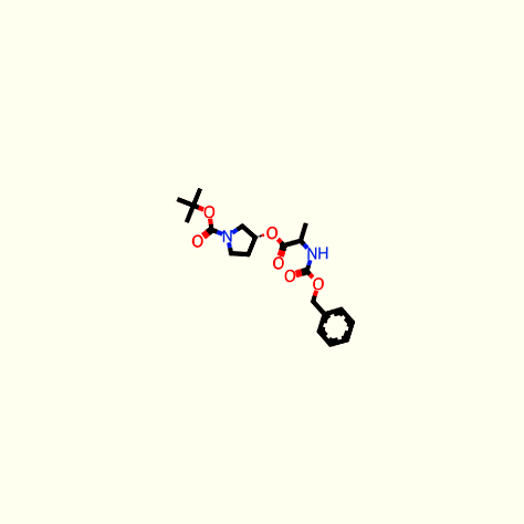 CC(NC(=O)OCc1ccccc1)C(=O)O[C@@H]1CCN(C(=O)OC(C)(C)C)C1